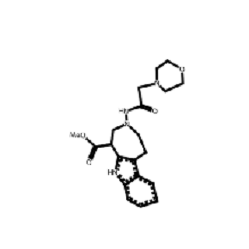 COC(=O)C1CN(NC(=O)CN2CCOCC2)CCc2c1[nH]c1ccccc21